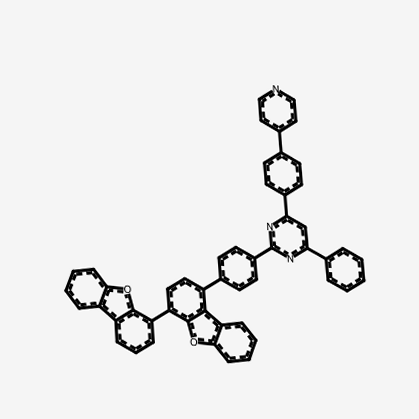 c1ccc(-c2cc(-c3ccc(-c4ccncc4)cc3)nc(-c3ccc(-c4ccc(-c5cccc6c5oc5ccccc56)c5oc6ccccc6c45)cc3)n2)cc1